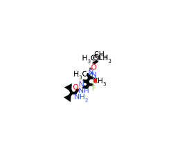 Cc1nn(COCC[Si](C)(C)C)c(C)c1-c1cnc(NC(=O)[C@@H](N)C(C2CC2)C2CC2)cc1C(F)F